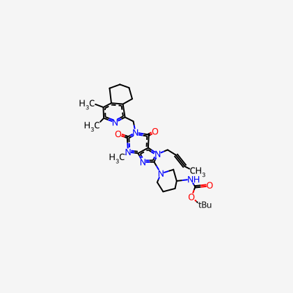 CC#CCn1c(N2CCCC(NC(=O)OC(C)(C)C)C2)nc2c1c(=O)n(Cc1nc(C)c(C)c3c1CCCC3)c(=O)n2C